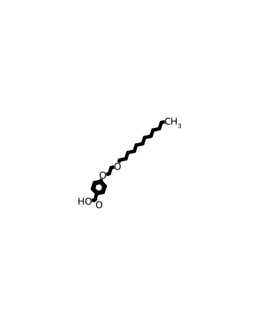 CCCCCCCCCCCCOCCOc1ccc(C(=O)O)cc1